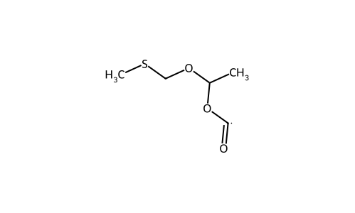 CSCOC(C)O[C]=O